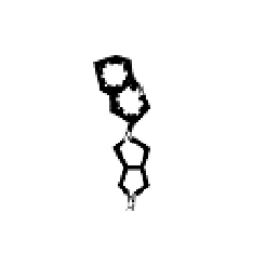 c1ccc2ncc(N3CC4CNCC4C3)cc2c1